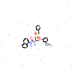 Cc1cccc(OCC(CS(=O)(=O)Cc2ccccc2)NC(=O)Nc2cccc3ccccc23)c1